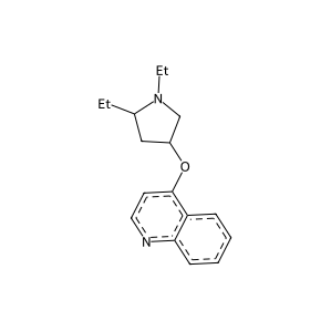 CCC1CC(Oc2ccnc3ccccc23)CN1CC